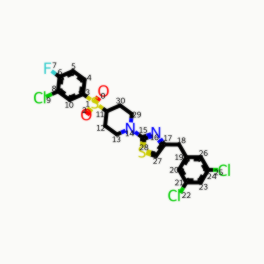 O=S(=O)(c1ccc(F)c(Cl)c1)C1CCN(c2nc(Cc3cc(Cl)cc(Cl)c3)cs2)CC1